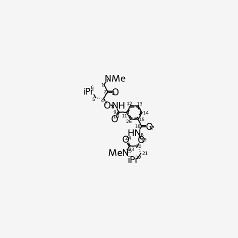 CNCC(=O)[C@@H](CC(C)C)ONC(=O)c1cccc(C(=O)NO[C@H](CC(C)C)C(=O)NC)c1